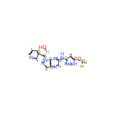 OC[C@@H](c1cccnc1)n1ncc2ncc(Nc3cc(OC(F)F)[nH]n3)nc21